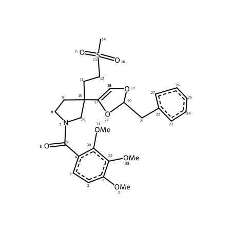 COc1ccc(C(=O)N2CCC(CCS(C)(=O)=O)(C3=COC(Cc4ccccc4)O3)C2)c(OC)c1OC